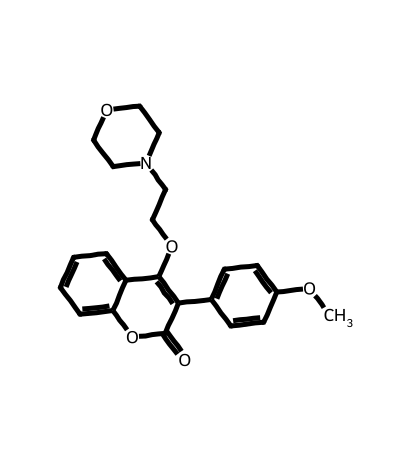 COc1ccc(-c2c(OCCN3CCOCC3)c3ccccc3oc2=O)cc1